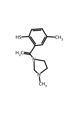 C=C(c1cc(C)ccc1S)N1CCN(C)C1